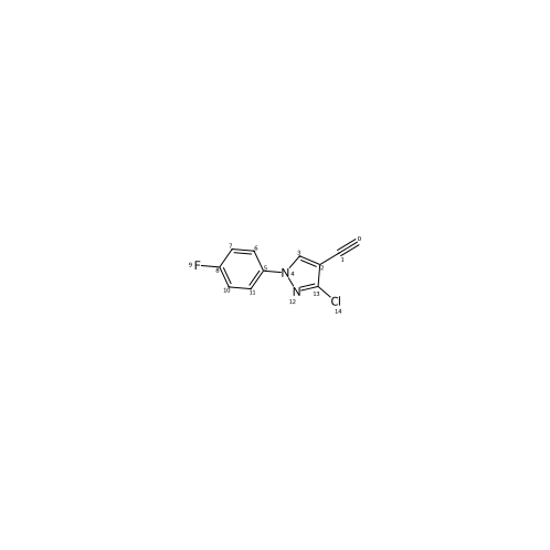 C#Cc1cn(-c2ccc(F)cc2)nc1Cl